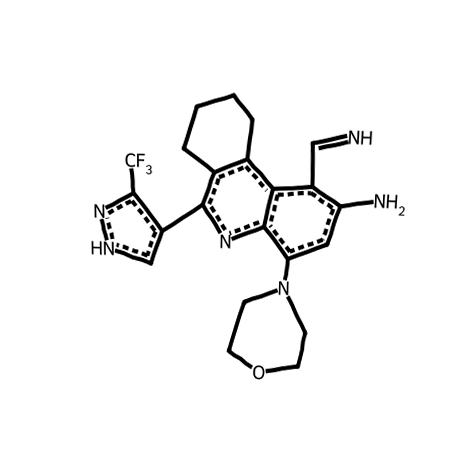 N=Cc1c(N)cc(N2CCOCC2)c2nc(-c3c[nH]nc3C(F)(F)F)c3c(c12)CCCC3